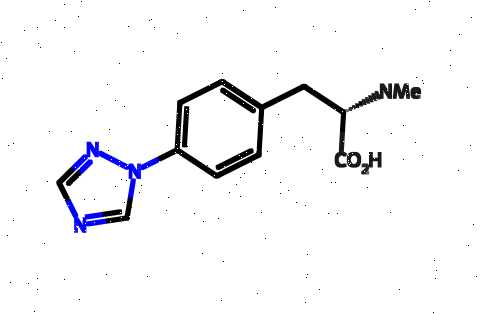 CN[C@@H](Cc1ccc(-n2cncn2)cc1)C(=O)O